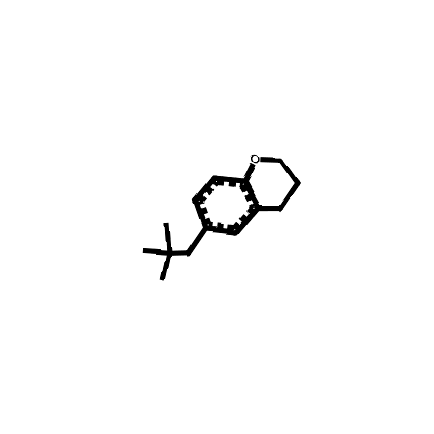 CC(C)(C)Cc1ccc2c(c1)[CH]CCO2